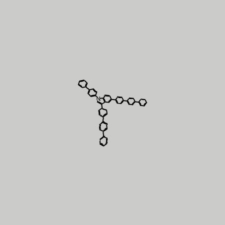 c1ccc(-c2ccc(-c3ccc(-c4ccc5c(c4)c(-c4ccc(-c6ccc(-c7ccccc7)cc6)cc4)cn5-c4ccc(-c5ccccc5)cc4)cc3)cc2)cc1